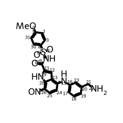 COc1ccc(S(=O)(=O)NC(=O)c2cc3c(Nc4cccc(CN)c4)ccc(N=O)c3[nH]2)cc1